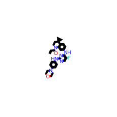 C=CC(=O)N1CCC2(CC2)c2ccc(Nc3nc(Nc4ccc(N5CCOCC5)cc4)ncc3F)cc21